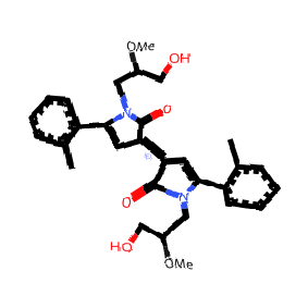 COC(CO)CN1C(=O)/C(=C2\C=C(c3ccccc3C)N(CC(CO)OC)C2=O)C=C1c1ccccc1C